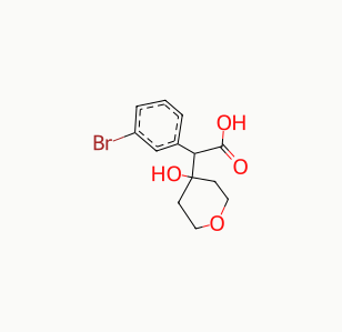 O=C(O)C(c1cccc(Br)c1)C1(O)CCOCC1